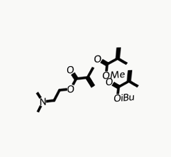 C=C(C)C(=O)OC.C=C(C)C(=O)OCC(C)C.C=C(C)C(=O)OCCN(C)C